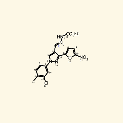 CCOC(=O)N/N=C/c1cn(-c2ccc(C)c(Cl)c2)nc1-c1ccc([N+](=O)[O-])o1